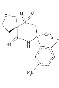 C[C@@]1(c2cc(N)ccc2F)CS(=O)(=O)[C@]2(CCOC2)C(=N)N1